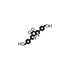 O=C1C(=O)c2cc(-c3ccc(CO)cc3)cnc2-c2ncc(-c3ccc(CO)cc3)cc21